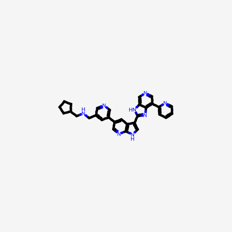 c1ccc(-c2cncc3[nH]c(-c4c[nH]c5ncc(-c6cncc(CNCC7CCCC7)c6)cc45)nc23)nc1